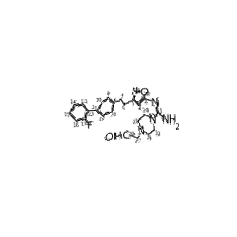 NC(=Nc1cc(CCc2ccc(-c3ccccc3F)cc2)no1)N1CCN(CC=O)CC1